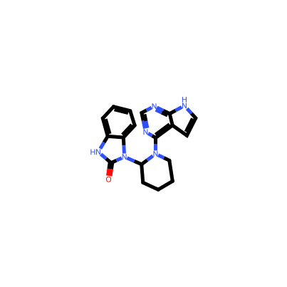 O=c1[nH]c2ccccc2n1C1CCCCN1c1ncnc2[nH]ccc12